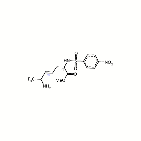 COC(=O)[C@H](C/C=C/C(N)C(F)(F)F)NS(=O)(=O)c1ccc([N+](=O)[O-])cc1